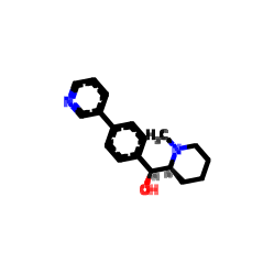 CN1CCCC[C@H]1[C@@H](O)c1ccc(-c2cccnc2)cc1